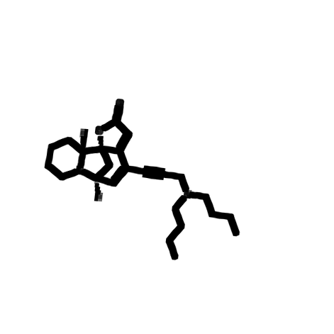 CCCCN(CC#CC1=C[C@@H]2C[C@@]3(OC(=O)C=C13)[C@H]1CCCCN21)CCCC